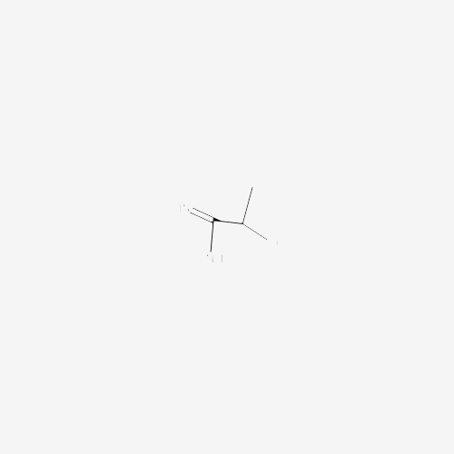 CCC(C)C(=N)N